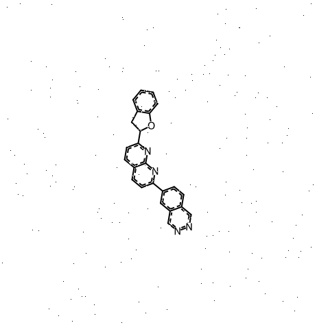 c1ccc2c(c1)CC(c1ccc3ccc(-c4ccc5cnncc5c4)nc3n1)O2